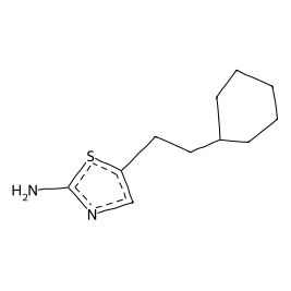 Nc1ncc(CCC2CCCCC2)s1